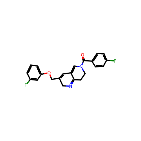 O=C(c1ccc(F)cc1)N1C=C2C=C(COc3cccc(F)c3)CN=C2CC1